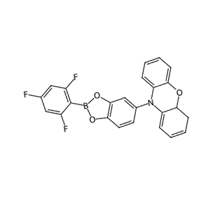 Fc1cc(F)c(B2Oc3ccc(N4C5=CC=CCC5Oc5ccccc54)cc3O2)c(F)c1